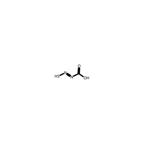 O=C(O)N=NS